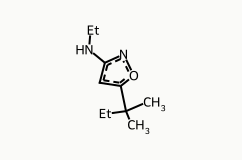 CCNc1cc(C(C)(C)CC)on1